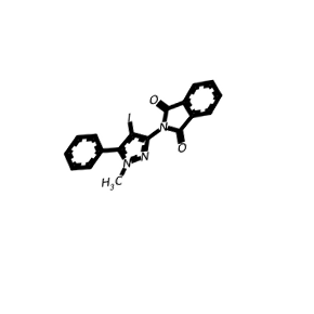 Cn1nc(N2C(=O)c3ccccc3C2=O)c(I)c1-c1ccccc1